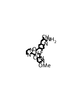 COc1ccc(CN(C(=O)c2cc3cc(C)c(N)nc3cc2F)[C@@H](C)c2ncccn2)nn1